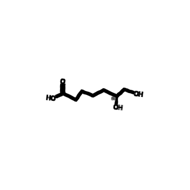 O=C(O)CCCC[C@H](O)CO